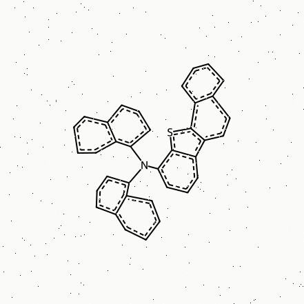 c1ccc2c(N(c3cccc4ccccc34)c3cccc4c3sc3c5ccccc5ccc43)cccc2c1